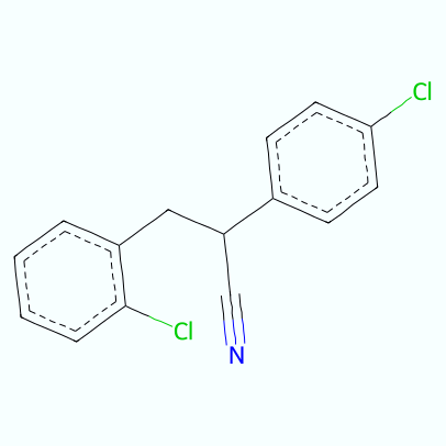 N#CC(Cc1ccccc1Cl)c1ccc(Cl)cc1